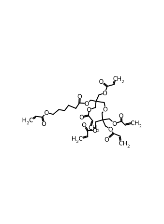 C=CC(=O)OCCCCCC(=O)OCC(COCC(COC(=O)C=C)(COC(=O)C=C)COC(=O)C=C)(COC(=O)C=C)COC(=O)C=C